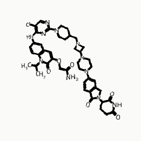 CC(C)n1c(=O)c(OCC(N)=O)cc2cc(Nc3nc(N4CCC(CN5CC(N6CCN(c7ccc8c(c7)CN(C7CCC(=O)NC7=O)C8=O)CC6)C5)CC4)ncc3Cl)ccc21